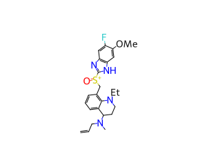 C=CCN(C)C1CCN(CC)c2c(C[S+]([O-])c3nc4cc(F)c(OC)cc4[nH]3)cccc21